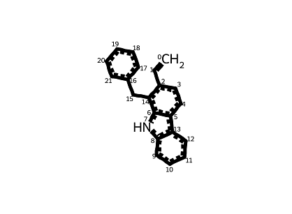 C=Cc1ccc2c([nH]c3ccccc32)c1Cc1ccccc1